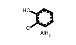 Oc1ccccc1Cl.[AlH3]